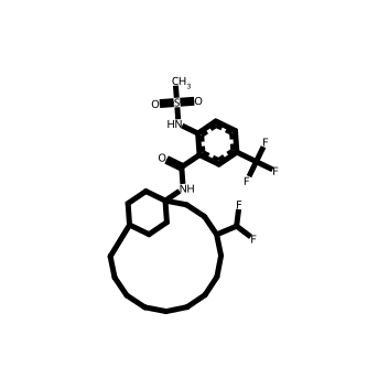 CS(=O)(=O)Nc1ccc(C(F)(F)F)cc1C(=O)NC12CCC(CCCCCCCCCC(C(F)F)CC1)CC2